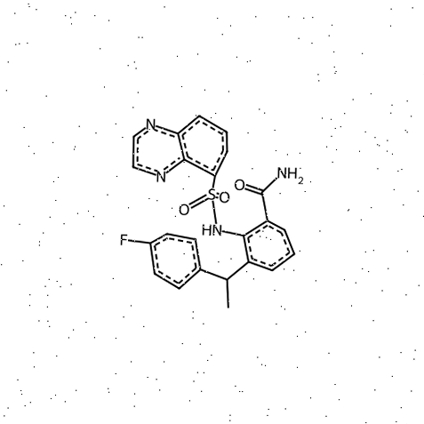 CC(c1ccc(F)cc1)c1cccc(C(N)=O)c1NS(=O)(=O)c1cccc2nccnc12